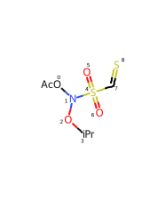 CC(=O)ON(OC(C)C)S(=O)(=O)C=S